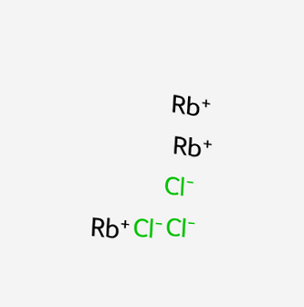 [Cl-].[Cl-].[Cl-].[Rb+].[Rb+].[Rb+]